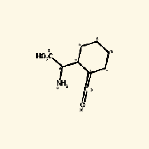 NC(C(=O)O)C1CCCCC1=C=O